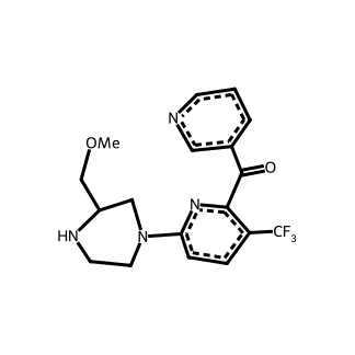 COCC1CN(c2ccc(C(F)(F)F)c(C(=O)c3cccnc3)n2)CCN1